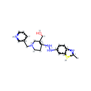 Cc1nc2ccc(NNC3=C(CO)CN(Cc4cccnc4)CC3)cc2s1